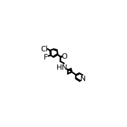 O=C(CCNC12CC(c3ccncc3)(C1)C2)c1ccc(Cl)c(F)c1